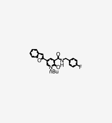 CCCCn1cc(-c2cc3ccccc3o2)cc(C(=O)NCc2ccc(F)cc2)c1=O